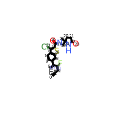 C#C/C=C(F)\C(=C/CC)c1ccc2c(Cl)c(C(=O)N3CC4(CCC(=O)N4)C3)sc2c1